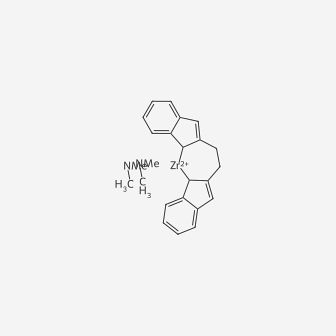 C1=C2CCC3=Cc4ccccc4[CH]3[Zr+2][CH]2c2ccccc21.C[N-]C.C[N-]C